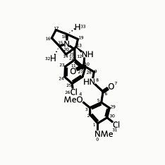 CNc1cc(OC)c(C(=O)NCC(=O)N[C@H]2C[C@H]3CC[C@@H](C2)N3Cc2ccc(Cl)cc2)cc1Cl